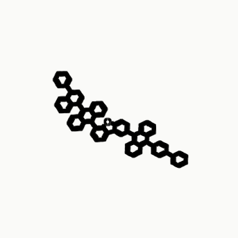 c1ccc(-c2ccc(-c3c4ccccc4c(-c4ccc5oc6c(-c7c8ccccc8c(-c8ccc(-c9ccccc9)c9ccccc89)c8ccccc78)cccc6c5c4)c4ccccc34)cc2)cc1